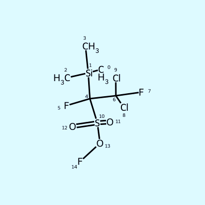 C[Si](C)(C)C(F)(C(F)(Cl)Cl)S(=O)(=O)OF